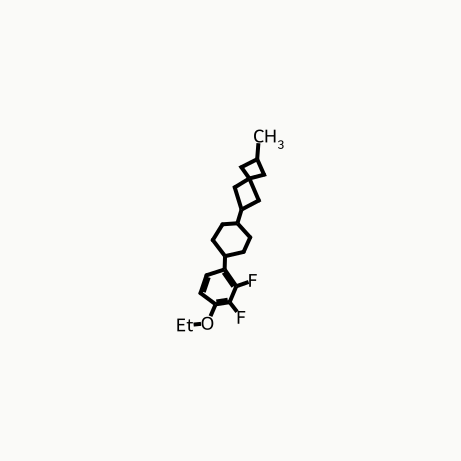 CCOc1ccc(C2CCC(C3CC4(CC(C)C4)C3)CC2)c(F)c1F